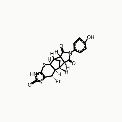 CC[C@@H]1c2sc(=O)[nH]c2S[C@H]2[C@H]3C[C@H]([C@H]4C(=O)N(c5ccc(O)cc5)C(=O)[C@@H]34)[C@H]21